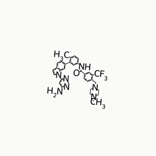 Cc1ccc(NC(=O)c2ccc(CN3CCN(C)CC3)c(C(F)(F)F)c2)cc1-c1ccc2ccn(-c3cc(N)ncn3)c2c1